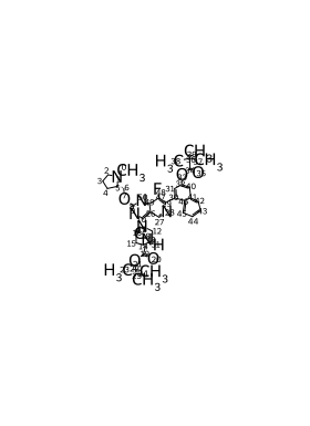 CN1CCC[C@H]1COc1nc(N2C[C@H]3CCC2CN3C(=O)OC(C)(C)C)c2cnc(-c3cc(OC(=O)C(C)(C)C)cc4ccccc34)c(F)c2n1